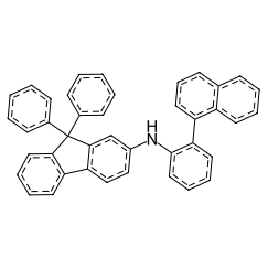 c1ccc(C2(c3ccccc3)c3ccccc3-c3ccc(Nc4ccccc4-c4cccc5ccccc45)cc32)cc1